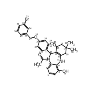 CC(=O)N1c2cccc(O)c2NC2=C(C(=O)CC(C)(C)C2)C1c1ccc(OCc2cccc(Br)c2)cc1Cl